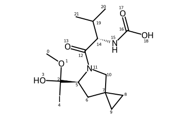 COC(O)(I)[C@@H]1CC2(CC2)CN1C(=O)[C@@H](NC(=O)O)C(C)C